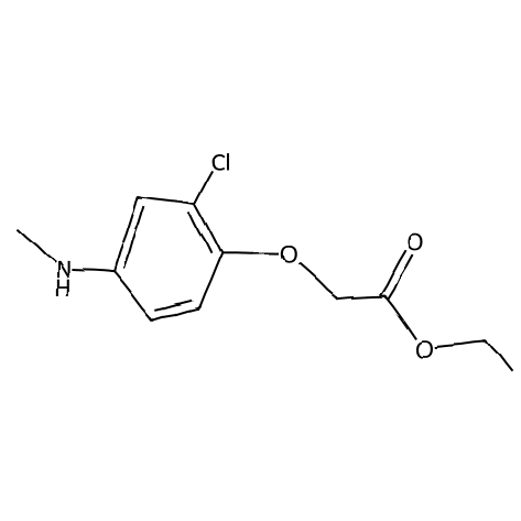 CCOC(=O)COc1ccc(NC)cc1Cl